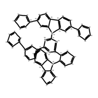 c1ccc(-c2cccc(-c3nc(-c4ccccc4-n4c5ccccc5c5ccccc54)nc(-n4c5cc(-c6ccccc6)ccc5c5ccc(-c6ccccc6)cc54)n3)c2)cc1